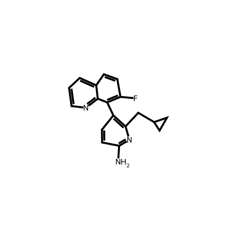 Nc1ccc(-c2c(F)ccc3cccnc23)c(CC2CC2)n1